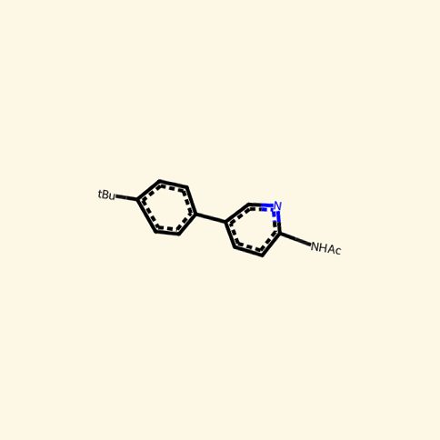 CC(=O)Nc1ccc(-c2ccc(C(C)(C)C)cc2)cn1